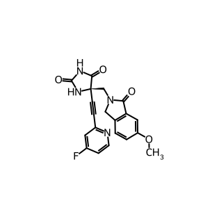 COc1ccc2c(c1)C(=O)N(C[C@@]1(C#Cc3cc(F)ccn3)NC(=O)NC1=O)C2